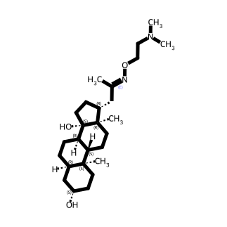 C/C(C[C@H]1CC[C@]2(O)[C@@H]3CC[C@@H]4C[C@@H](O)CC[C@]4(C)[C@H]3CC[C@]12C)=N\OCCN(C)C